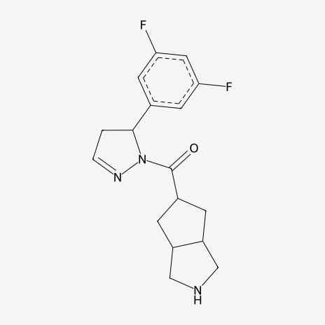 O=C(C1CC2CNCC2C1)N1N=CCC1c1cc(F)cc(F)c1